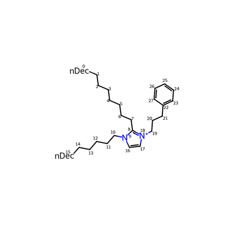 CCCCCCCCCCCCCCCCCc1n(CCCCCCCCCCCCCCC)cc[n+]1CCCc1ccccc1